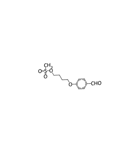 CS(=O)(=O)OCCCCOc1ccc(C=O)cc1